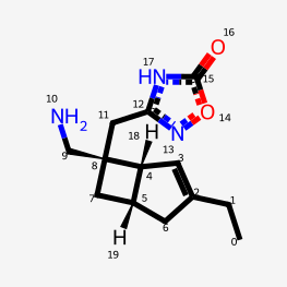 CCC1=C[C@@H]2[C@H](C1)C[C@]2(CN)Cc1noc(=O)[nH]1